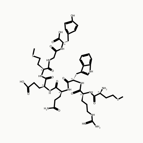 CSCC[C@H](NC(=O)[C@H](CCC(=O)O)NC(=O)[C@H](CCC(N)=O)NC(=O)[C@H](Cc1c[nH]c2ccccc12)NC(=O)[C@H](CCCNC(=N)N)NC(=O)[C@@H](N)CCSC)C(=O)NCC(=O)N[C@@H](Cc1ccc(O)cc1)C(=O)O